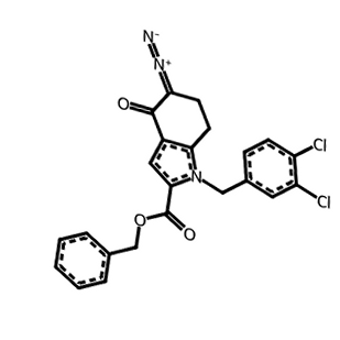 [N-]=[N+]=C1CCc2c(cc(C(=O)OCc3ccccc3)n2Cc2ccc(Cl)c(Cl)c2)C1=O